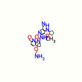 COC1CCCC1Nc1cc(NC(=O)N2c3nc(C=O)ccc3C3(OCCN)CC2C3)ncc1C#N